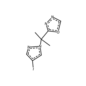 CC(C)(c1nnco1)n1cc(I)cn1